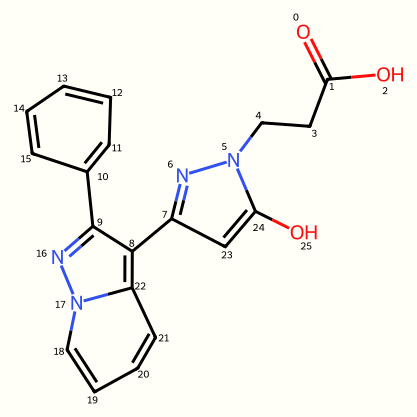 O=C(O)CCn1nc(-c2c(-c3ccccc3)nn3ccccc23)cc1O